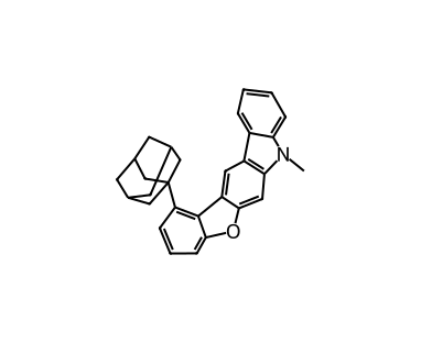 Cn1c2ccccc2c2cc3c(cc21)oc1cccc(C24CC5CC(CC(C5)C2)C4)c13